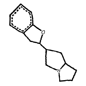 c1ccc2c(c1)CC(C1CC3CCCN3C1)O2